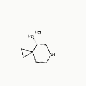 Cl.O[C@@H]1CNCCC12CC2